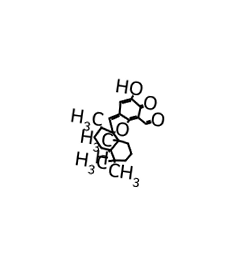 C[C@@H]1CC[C@H]2C(C)(C)CCCC2(C)[C@@]12C=C1C=C(O)C(=O)C(C=O)=C1O2